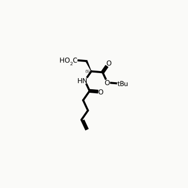 C=CCCC(=O)N[C@@H](CC(=O)O)C(=O)OC(C)(C)C